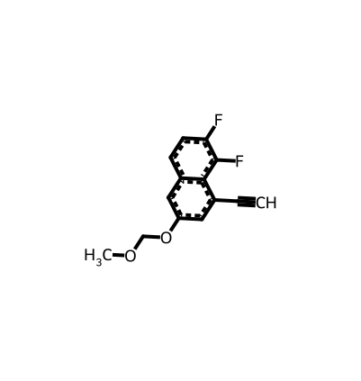 C#Cc1cc(OCOC)cc2ccc(F)c(F)c12